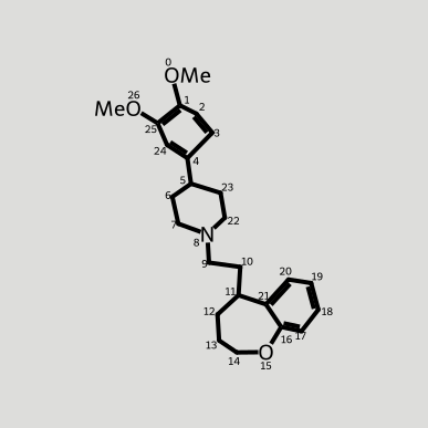 COc1ccc(C2CCN(CCC3CCCOc4ccccc43)CC2)cc1OC